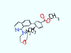 COC(=O)c1ccc(C)c(-c2ccc3ccnc(N4CCOC[C@@H]4C)c3c2)c1